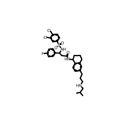 CC(C)CNCCCc1ccc2c(c1)CCCC2NC(=O)CC(NS(=O)(=O)c1ccc(Cl)c(Cl)c1)c1ccc(F)cc1